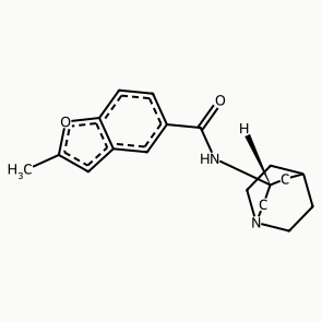 Cc1cc2cc(C(=O)N[C@@H]3CC4CCN(CC4)C3)ccc2o1